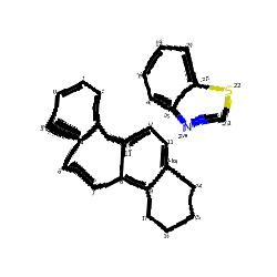 c1ccc2c(c1)ccc1c3c(ccc12)CCCC3.c1ccc2scnc2c1